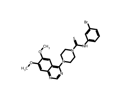 COc1cc2ncnc(N3CCN(C(=S)Nc4cccc(Br)c4)CC3)c2cc1OC